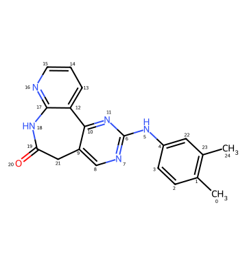 Cc1ccc(Nc2ncc3c(n2)-c2cccnc2NC(=O)C3)cc1C